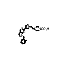 O=C(O)N1CCN(CCn2cc(-c3ncc4cnn(Cc5ccccc5F)c4n3)cn2)CC1